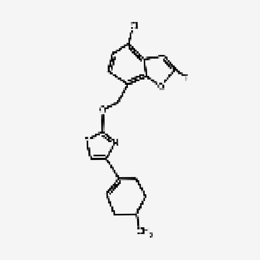 CC1CC=C(c2csc(OCc3ccc(Cl)c4cc(F)oc34)n2)CC1